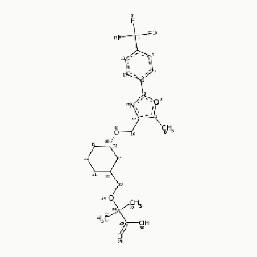 Cc1oc(-c2ccc(C(F)(F)F)cc2)nc1CO[C@H]1CCCC(COC(C)(C)C(=O)O)C1